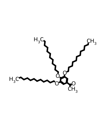 CCCCCCCCCCCCOc1cc(C(C)=O)cc(OCCCCCCCCCCCC)c1OCCCCCCCCCCCC